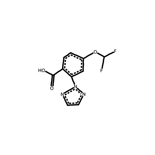 O=C(O)c1ccc(OC(F)F)cc1-n1nccn1